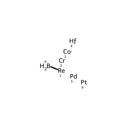 [BH2][Re].[Co].[Cr].[Hf].[Pd].[Pt]